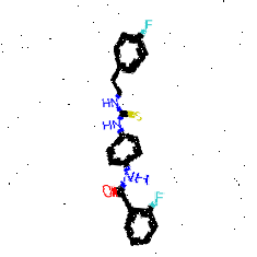 O=C(Nc1ccc(NC(=S)NCCc2ccc(F)cc2)cc1)c1ccccc1F